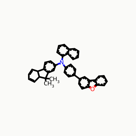 CC1(C)c2cc(N(c3ccc(-c4ccc5oc6ccccc6c5c4)cc3)c3cccc4ccccc34)ccc2C2C=CC=CC21